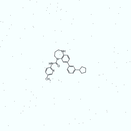 Cc1ccc(NC(=O)N2CCCNc3ccc(-c4cccc(C5CCCC5)c4)cc32)nc1